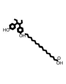 CCC(=C(CC)c1ccc(O)cc1)c1ccc(O)cc1.CCCCCCCCC=CCCCCCCCC(=O)O